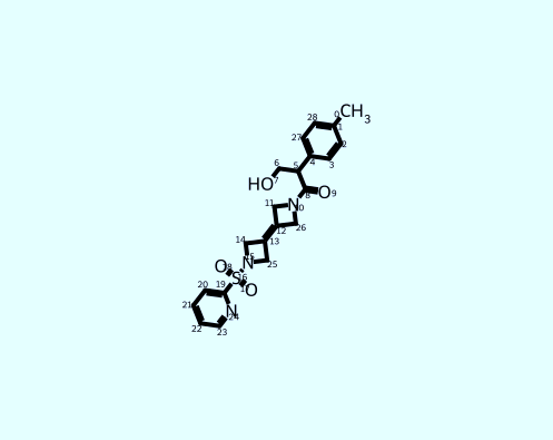 Cc1ccc(C(CO)C(=O)N2CC(=C3CN(S(=O)(=O)c4ccccn4)C3)C2)cc1